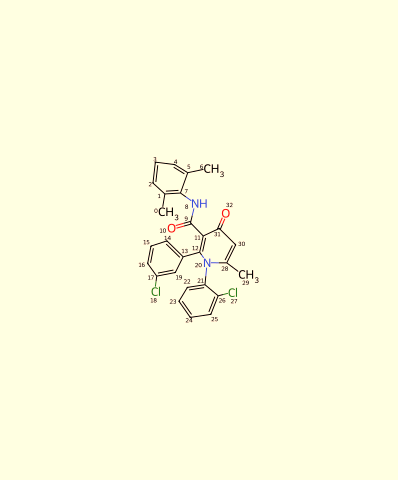 Cc1cccc(C)c1NC(=O)c1c(-c2cccc(Cl)c2)n(-c2ccccc2Cl)c(C)cc1=O